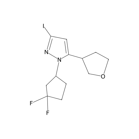 FC1(F)CCC(n2nc(I)cc2C2CCOC2)C1